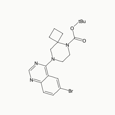 CC(C)(C)OC(=O)N1CCN(c2ncnc3ccc(Br)cc23)CC12CCC2